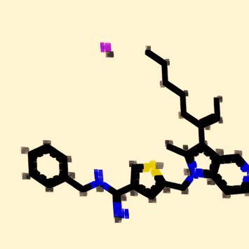 CC=C(CCCCC)c1c(C)n(Cc2cc(C(=N)NCc3ccccc3)cs2)c2ccncc12.I